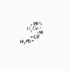 [Cd].[GaH3].[InH3].[Ni].[PbH2]